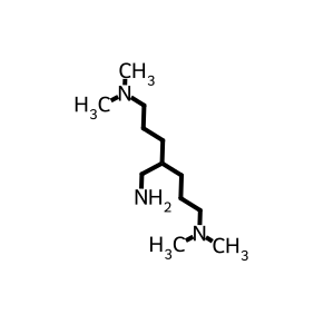 CN(C)CCCC(CN)CCCN(C)C